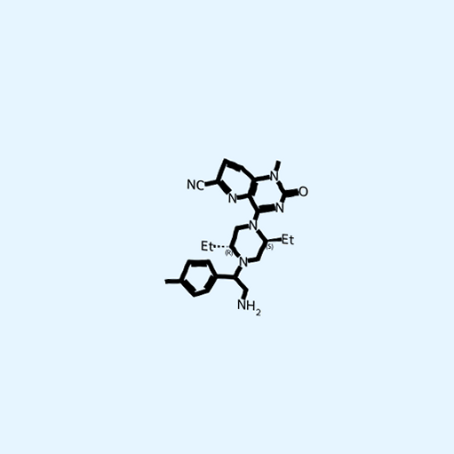 CC[C@H]1CN(C(CN)c2ccc(C)cc2)[C@H](CC)CN1c1nc(=O)n(C)c2ccc(C#N)nc12